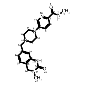 CNC(=O)c1ccc(N2CCN(Cc3ccc4c(c3)NC(=O)N(C)C4)CC2)cn1